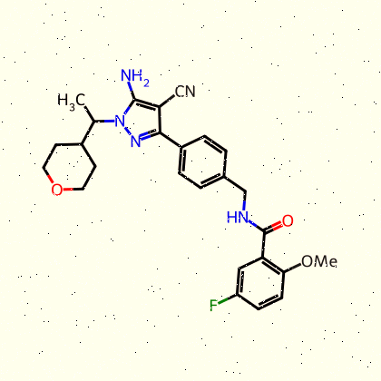 COc1ccc(F)cc1C(=O)NCc1ccc(-c2nn(C(C)C3CCOCC3)c(N)c2C#N)cc1